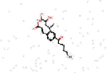 CCCCCC(=O)c1ccc(C=CC(=O)O)c(C(C)CC(O)CO)c1